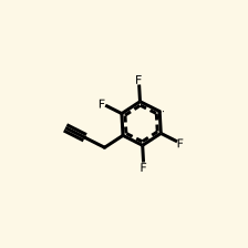 C#CCc1c(F)c(F)[c]c(F)c1F